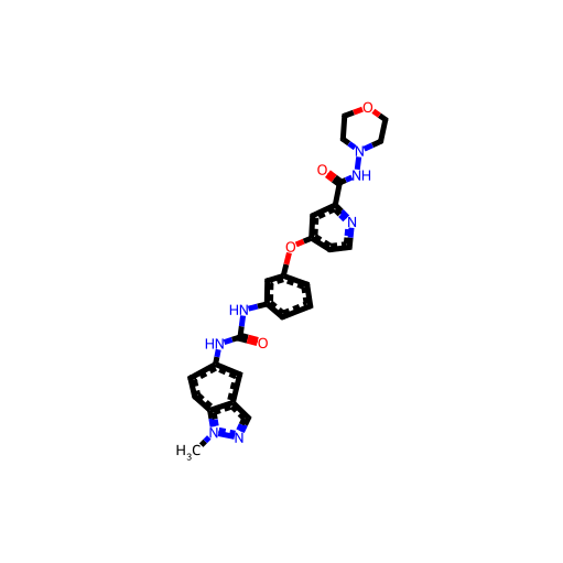 Cn1ncc2cc(NC(=O)Nc3cccc(Oc4ccnc(C(=O)NN5CCOCC5)c4)c3)ccc21